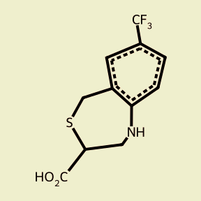 O=C(O)C1CNc2ccc(C(F)(F)F)cc2CS1